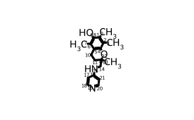 Cc1c(C)c2c(c(C)c1O)CCC(C)(CNc1ccncc1)O2